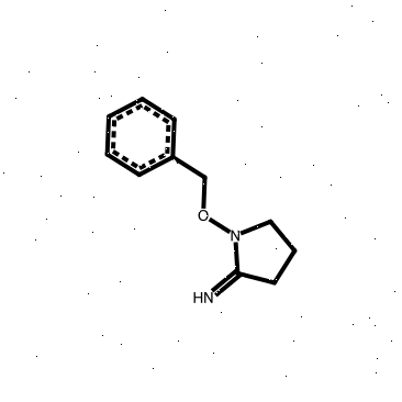 N=C1CCCN1OCc1ccccc1